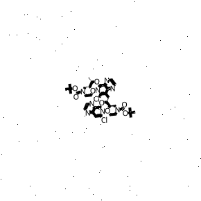 C[C@H](Oc1nc(Cl)c(C[C@@H](Oc2nc(Cl)cc3nccnc23)[C@H]2CN(C(=O)OC(C)(C)C)CCO2)c2nccnc12)[C@H]1CN(C(=O)OC(C)(C)C)CCO1